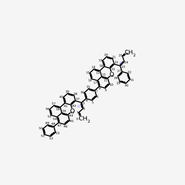 C=C/C=C(/c1ccc(-c2ccc3c4c(cccc24)-c2cccc(/C(=C\C=C)c4ccccc4)c2O3)cc1)c1cccc2c1Oc1ccc(-c3ccccc3)c3cccc-2c13